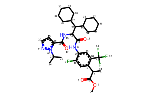 COC(=O)C(C)c1cc(F)c(NC(=O)C(NC(=O)c2ccnn2C(C)C)C(C2CCCCC2)C2CCCCC2)cc1C(F)(F)F